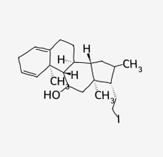 CC1C[C@H]2[C@@H]3CCC4=CCC=C[C@]4(C)[C@H]3C(O)C[C@]2(C)[C@H]1CCI